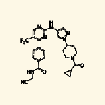 N#CCNC(=O)c1ccc(-c2nc(Nc3cnn(C4CCN(C(=O)C5CC5)CC4)c3)ncc2C(F)(F)F)cc1